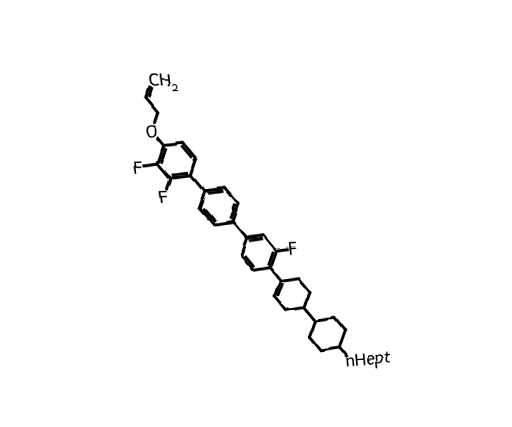 C=CCOc1ccc(-c2ccc(-c3ccc(C4=CCC(C5CCC(CCCCCCC)CC5)CC4)c(F)c3)cc2)c(F)c1F